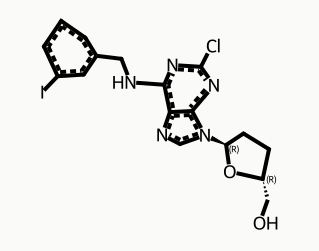 OC[C@H]1CC[C@H](n2cnc3c(NCc4cccc(I)c4)nc(Cl)nc32)O1